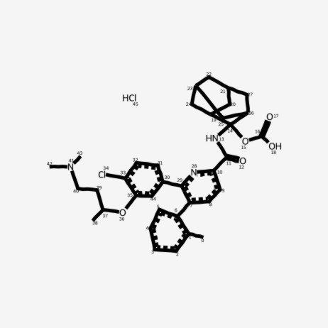 Cc1ccccc1-c1ccc(C(=O)NC2(OC(=O)O)C3CC4CC(C3)CC2C4)nc1-c1ccc(Cl)c(OC(C)CCN(C)C)c1.Cl